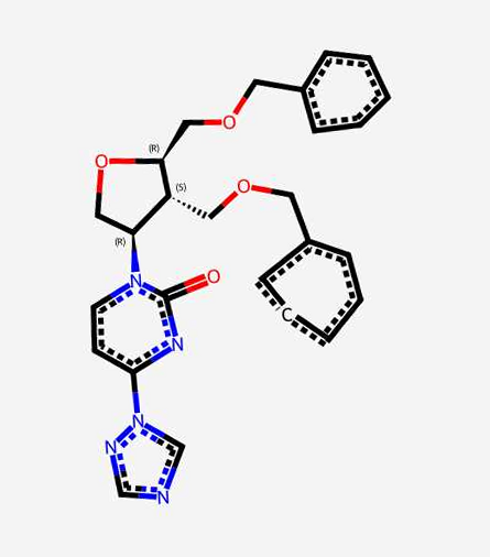 O=c1nc(-n2cncn2)ccn1[C@H]1CO[C@@H](COCc2ccccc2)[C@@H]1COCc1ccccc1